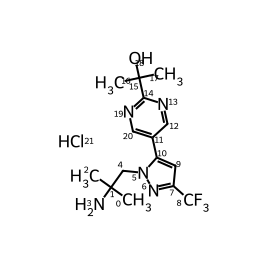 CC(C)(N)Cn1nc(C(F)(F)F)cc1-c1cnc(C(C)(C)O)nc1.Cl